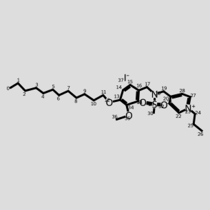 CCCCCCCCCCCCOc1ccc(CN(Cc2cc[n+](CCC)cc2)S(C)(=O)=O)cc1OC.[I-]